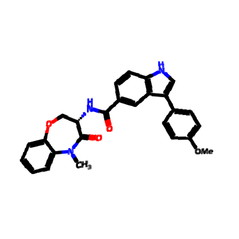 COc1ccc(-c2c[nH]c3ccc(C(=O)N[C@H]4COc5ccccc5N(C)C4=O)cc23)cc1